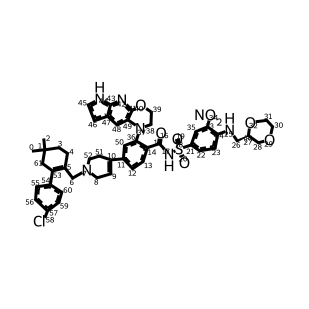 CC1(C)CCC(CN2CC=C(c3ccc(C(=O)NS(=O)(=O)c4ccc(NC[C@@H]5COCCO5)c([N+](=O)[O-])c4)c(N4CCOc5nc6[nH]ccc6cc54)c3)CC2)=C(c2ccc(Cl)cc2)C1